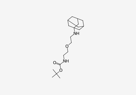 CC(C)(C)OC(=O)NCCOCCNC12CC3CC(CC(C3)C1)C2